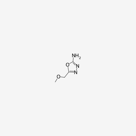 COCc1nnc(N)o1